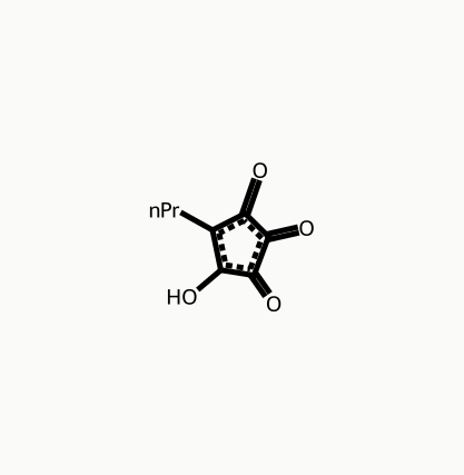 CCCc1c(O)c(=O)c(=O)c1=O